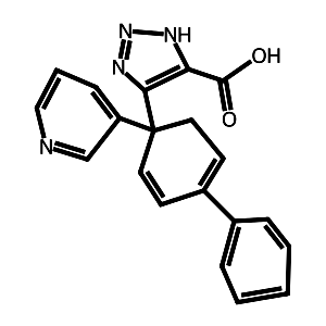 O=C(O)c1[nH]nnc1C1(c2cccnc2)C=CC(c2ccccc2)=CC1